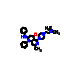 Cc1cc2c(c(N3CCN(CCN(C)C)CC3)n1)c(=O)cc(Nc1ccccc1)n2-c1ccccc1